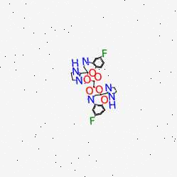 CN1CC(OC(=O)C(=O)OC2(C3=NCCN3)CN(C)c3cc(F)ccc3O2)(C2=NCCN2)Oc2ccc(F)cc21